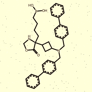 O=C1OCNC1(CCCCB(O)O)C1CC(N(Cc2ccc(-c3ccccc3)cc2)Cc2ccc(-c3ccccc3)cc2)C1